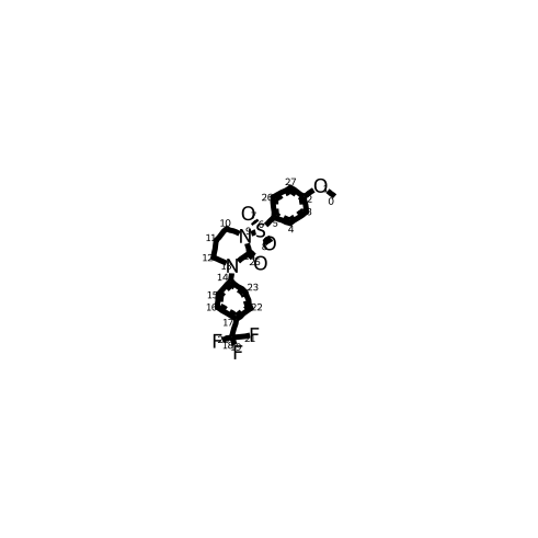 COc1ccc(S(=O)(=O)N2CCCN(c3ccc(C(F)(F)F)cc3)C2=O)cc1